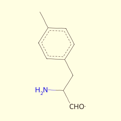 Cc1ccc(CC(N)[C]=O)cc1